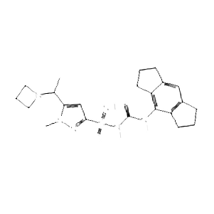 CC(c1cc(S(=N)(=O)NC(=O)Nc2c3c(cc4c2CCC4)CCC3)nn1C)N1CCC1